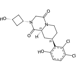 O=C1CN([C@H]2C[C@@H](O)C2)C(=O)[C@@H]2C[C@H](c3c(O)ccc(Cl)c3Cl)CCN12